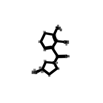 NC1=C(O)C(C(=O)N2CC[C@@H](O)C2)=CCC1